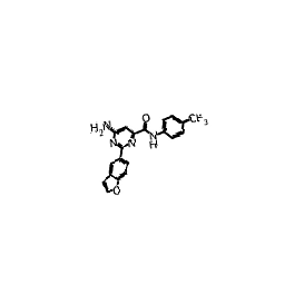 Nc1cc(C(=O)Nc2ccc(C(F)(F)F)cc2)nc(-c2ccc3occc3c2)n1